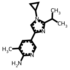 Cc1cc(-c2cn(C3CC3)c(C(C)C)n2)cnc1N